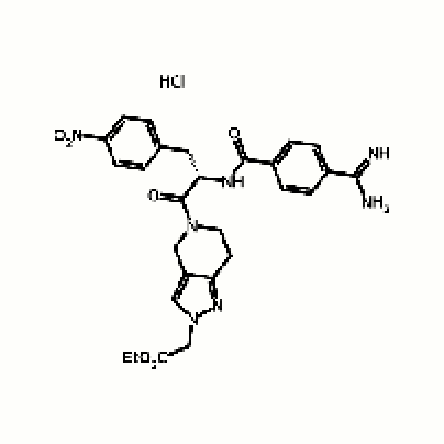 CCOC(=O)Cn1cc2c(n1)CCN(C(=O)[C@H](Cc1ccc([N+](=O)[O-])cc1)NC(=O)c1ccc(C(=N)N)cc1)C2.Cl